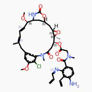 C=C/C=N\c1c(C(=O)N(C)CC(=O)O[C@H]2CC(=O)N(C)c3cc(cc(OC)c3Cl)C/C(C)=C/C=C/[C@@H](OC)C3C[C@@H](C[C@@H]4O[C@@]24C)OC(=O)N3)ccc(N)c1C=C